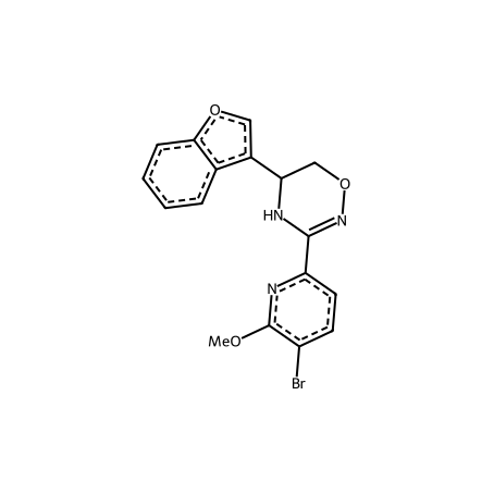 COc1nc(C2=NOCC(c3coc4ccccc34)N2)ccc1Br